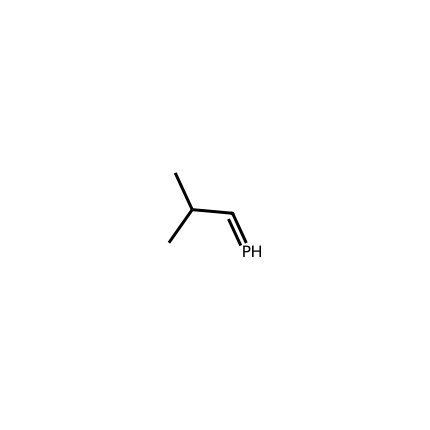 CC(C)C=P